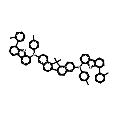 Cc1ccc(N(c2ccc3c4c(ccc3c2)-c2ccc3cc(N(c5ccc(C)cc5)c5cccc6c5oc5c(-c7ccccc7C)cccc56)ccc3c2C4(C)C)c2cccc3c2oc2c(-c4ccccc4C)cccc23)cc1